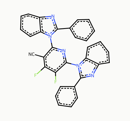 N#Cc1c(-n2c(-c3ccccc3)nc3ccccc32)nc(-n2c(-c3ccccc3)nc3ccccc32)c(F)c1F